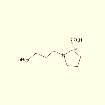 CCCCCCCCCN1CCC[C@H]1C(=O)O